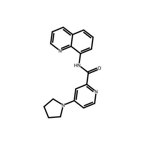 O=C(Nc1cccc2cccnc12)c1cc(N2CCCC2)ccn1